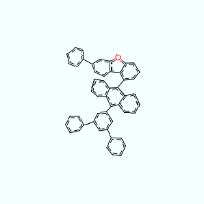 c1ccc(-c2cc(-c3ccccc3)cc(-c3c4ccccc4c(-c4cccc5oc6cc(-c7ccccc7)ccc6c45)c4ccccc34)c2)cc1